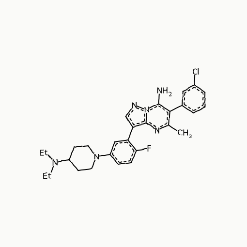 CCN(CC)C1CCN(c2ccc(F)c(-c3cnn4c(N)c(-c5cccc(Cl)c5)c(C)nc34)c2)CC1